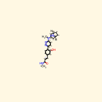 CNC(=O)/C=C/c1ccc(-c2ccc(N(C)C3C[C@H]4CC[C@@H](C3)N4)nn2)c(O)c1